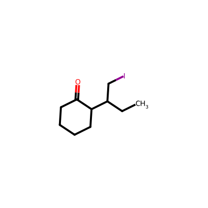 CCC(CI)C1CCCCC1=O